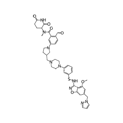 COc1cc(Cn2cccn2)cc2onc(NSc3cccc(N4CCN(CC5CCN(c6ccc(C=O)c(C(=O)N(C)C7CCC(=O)NC7=O)c6)C5)CC4)c3)c12